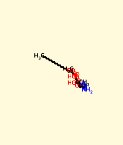 CCCCCCCCCCCCCCCCCCOC[C@H](COP(=O)(O)OCC1O[C@@](C)(c2ccc3c(N)ncnn23)[C@H](O)[C@@H]1O)OC